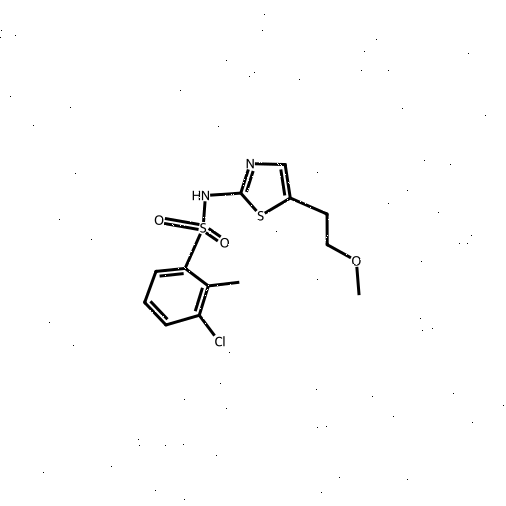 COCCc1cnc(NS(=O)(=O)c2cccc(Cl)c2C)s1